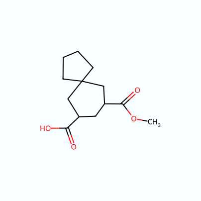 COC(=O)C1CC(C(=O)O)CC2(CCCC2)C1